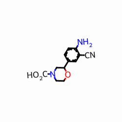 N#Cc1cc(C2CN(C(=O)O)CCO2)ccc1N